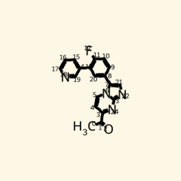 CC(=O)c1ccn2c(-c3ccc(F)c(-c4cccnc4)c3)cnc2n1